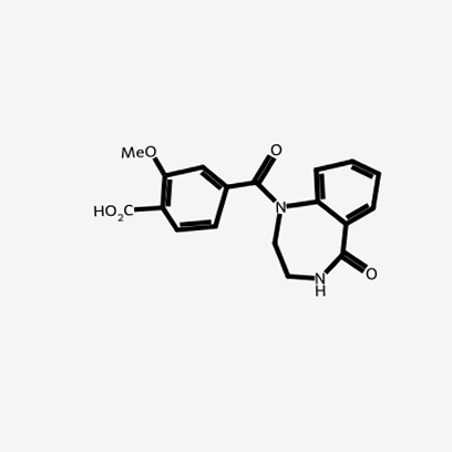 COc1cc(C(=O)N2CCNC(=O)c3ccccc32)ccc1C(=O)O